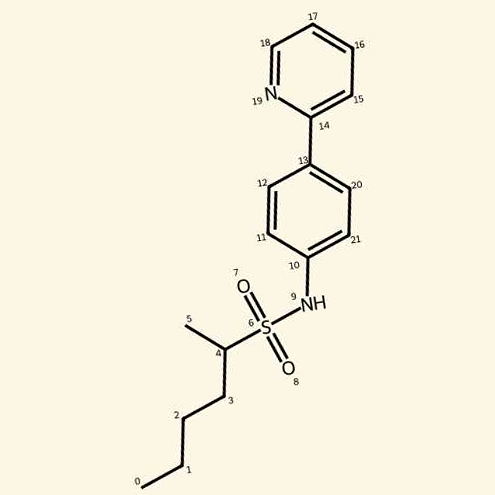 CCCCC(C)S(=O)(=O)Nc1ccc(-c2ccccn2)cc1